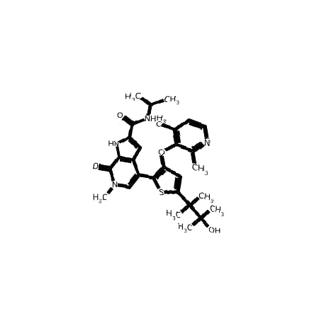 Cc1ccnc(C)c1Oc1cc(C(C)(C)C(C)(C)O)sc1-c1cn(C)c(=O)c2[nH]c(C(=O)NC(C)C)cc12